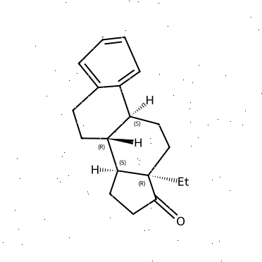 CC[C@@]12CC[C@@H]3c4cc[c]cc4CC[C@H]3[C@@H]1CCC2=O